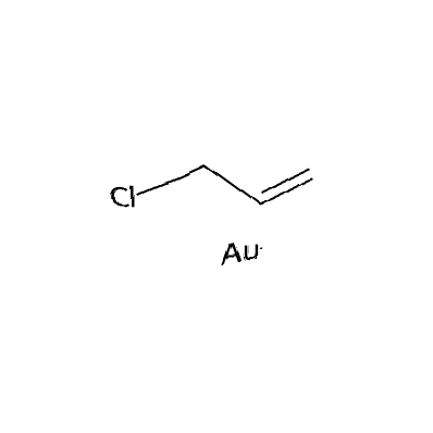 C=CCCl.[Au]